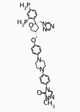 Cn1ncn(-c2ccc(N3CCN(c4ccc(OC[C@@H]5CO[C@@](Cn6cncn6)(c6ccc(P)cc6P)C5)cc4)CC3)cc2)c1=O